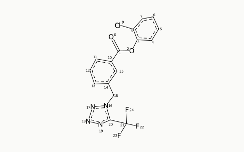 O=C(Oc1ccccc1Cl)c1cccc(Cn2nnnc2C(F)(F)F)c1